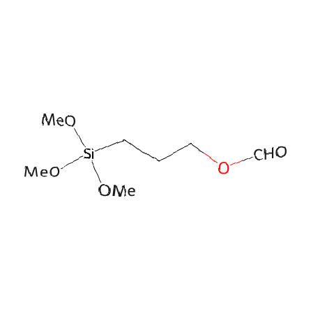 CO[Si](CCCOC=O)(OC)OC